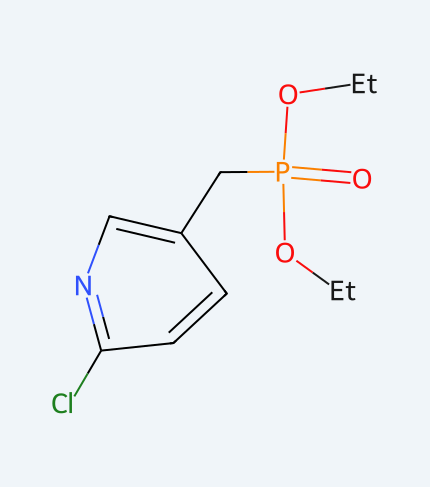 CCOP(=O)(Cc1ccc(Cl)nc1)OCC